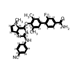 Cc1cc(-c2ccc(C(N)=O)cc2F)cc(C)c1Oc1nc(Nc2ccc(C#N)cc2)nc2ccn(C)c12